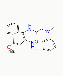 CCCCOc1cc(N)c(NC(=O)CN(C)c2ccccc2)c2ccccc12